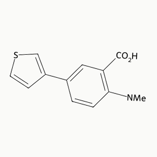 CNc1ccc(-c2ccsc2)cc1C(=O)O